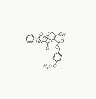 COc1ccc(COC(=O)C2=C(O)CS[C@H]3C(NC(=O)c4ccccc4)C(=O)N23)cc1